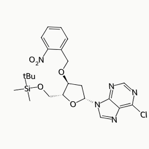 CC(C)(C)[Si](C)(C)OC[C@H]1O[C@@H](n2cnc3c(Cl)ncnc32)C[C@@H]1OCc1ccccc1[N+](=O)[O-]